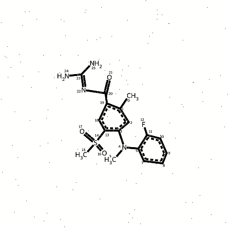 Cc1cc(N(C)c2ccccc2F)c(S(C)(=O)=O)cc1C(=O)N=C(N)N